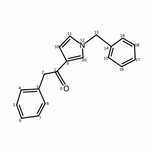 O=C(Cc1ccccc1)c1ccn(Cc2ccccc2)c1